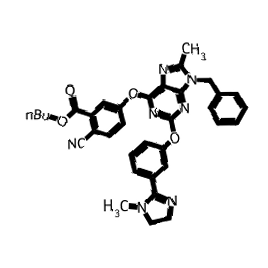 CCCCOC(=O)c1cc(Oc2nc(Oc3cccc(C4=NCCN4C)c3)nc3c2nc(C)n3Cc2ccccc2)ccc1C#N